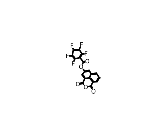 O=C(Oc1cc2c3c(cccc3c1)C(=O)OC2=O)c1c(F)c(F)c(F)c(F)c1F